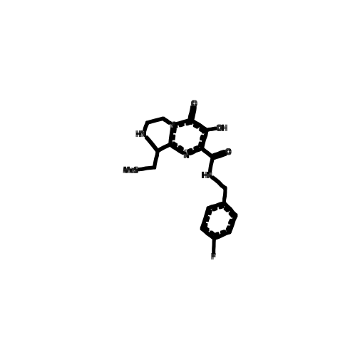 CSCC1NCCn2c1nc(C(=O)NCc1ccc(F)cc1)c(O)c2=O